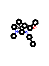 c1ccc(-c2ccc(N(c3ccc4c(c3)[Si](c3ccccc3)(c3ccccc3)c3ccccc3N4c3ccccc3)c3ccc4c(c3)oc3ccccc34)cc2)cc1